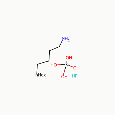 CCCCCCCCCCN.F.O[Si](O)(O)O